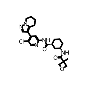 CC1(C(=O)N[C@@H]2CCC[C@H](C(=O)Nc3cc(-c4cnn5c4CCCC5)c(Cl)cn3)C2)COC1